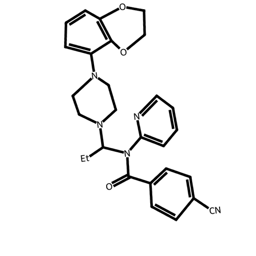 CCC(N1CCN(c2cccc3c2OCCO3)CC1)N(C(=O)c1ccc(C#N)cc1)c1ccccn1